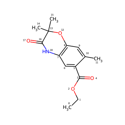 CCOC(=O)c1cc2c(cc1C)OC(C)(C)C(=O)N2